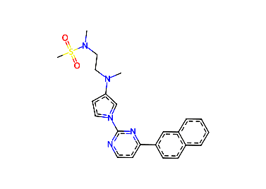 CN(CCN(C)S(C)(=O)=O)c1ccn(-c2nccc(-c3ccc4ccccc4c3)n2)c1